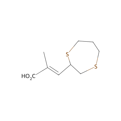 C/C(=C\C1CSCCCS1)C(=O)O